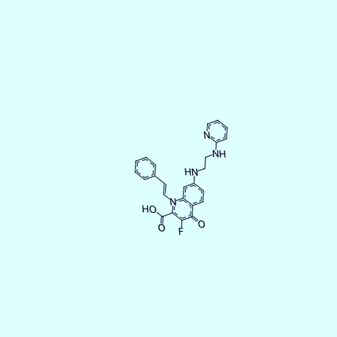 O=C(O)c1c(F)c(=O)c2ccc(NCCNc3ccccn3)cc2n1C=Cc1ccccc1